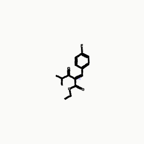 CCOC(=O)/C(=C/c1ccc(F)cc1)C(=O)C(C)C